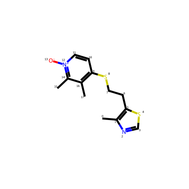 Cc1ncsc1CCSc1cc[n+]([O-])c(C)c1C